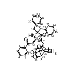 COc1ccccc1C(=O)C=C1NC(Cc2ccncc2)(Cc2ccncc2)C(=O)N1CC1CC2CC(C1C)C2(C)C